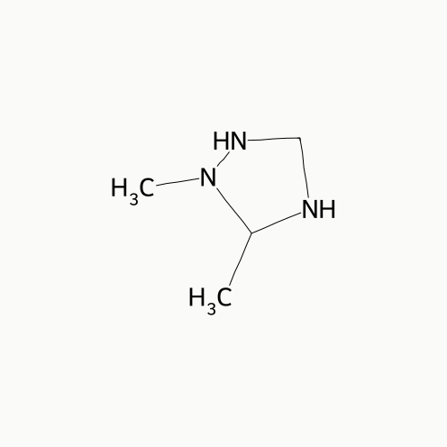 CC1NCNN1C